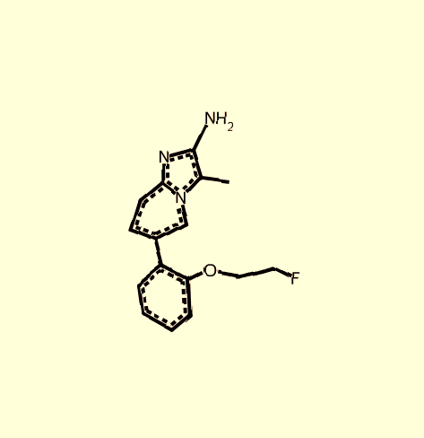 Cc1c(N)nc2ccc(-c3ccccc3OCCF)cn12